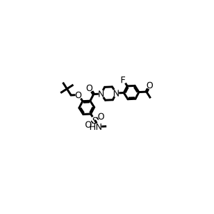 CNS(=O)(=O)c1ccc(OCC(C)(C)C)c(C(=O)N2CCN(c3ccc(C(C)=O)cc3F)CC2)c1